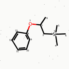 CC(C[Si](C)(C)C)Oc1ccccc1